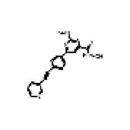 CNc1nc(C(=O)NO)cc(-c2ccc(C#Cc3cccnc3)cc2)n1